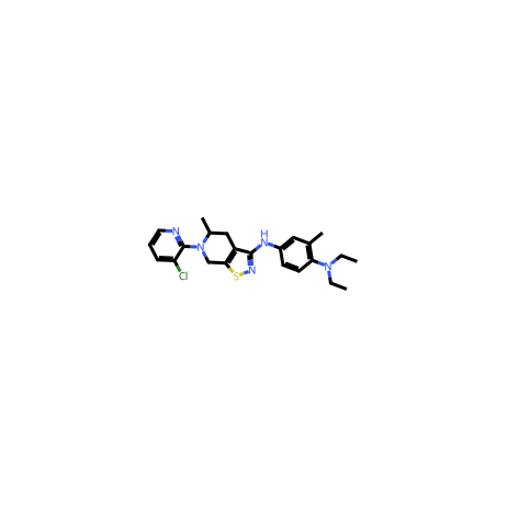 CCN(CC)c1ccc(Nc2nsc3c2CC(C)N(c2ncccc2Cl)C3)cc1C